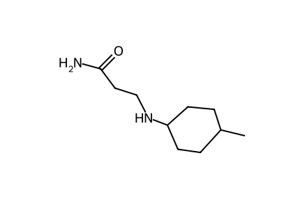 CC1CCC(NCCC(N)=O)CC1